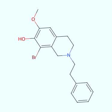 COc1cc2c(c(Br)c1O)CN(CCc1ccccc1)CC2